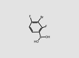 OB(O)c1ccc(F)c(Br)c1F